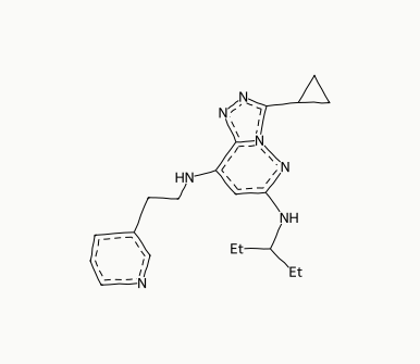 CCC(CC)Nc1cc(NCCc2cccnc2)c2nnc(C3CC3)n2n1